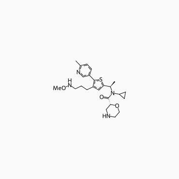 CONCCCc1cc([C@@H](C)N(C(=O)[C@H]2CNCCO2)C2CC2)sc1-c1ccc(C)nc1